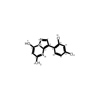 Cc1cc(O)n2ncc(-c3ccc(Cl)cc3Cl)c2n1